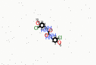 COc1ccc(NNC(=O)C(=O)NNc2ccc(OC)c(Cl)c2)cc1Cl